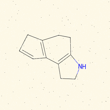 C1=CC2=C(C1)CCC1=C2CCN1